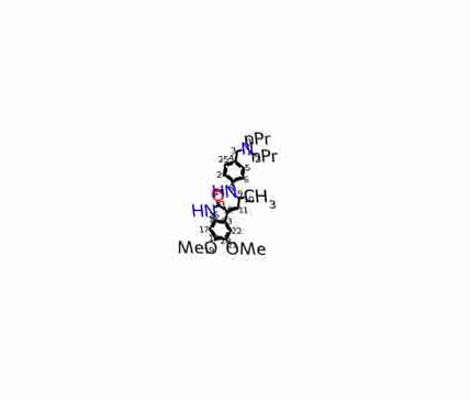 CCCN(CCC)Cc1ccc(NC(C)C=C2C(=O)Nc3cc(OC)c(OC)cc32)cc1